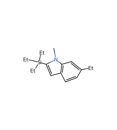 CCc1ccc2cc([Si](CC)(CC)CC)n(C)c2c1